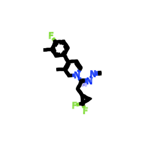 C=N/N=C(/CC1CC1(F)F)N1C=CC(c2ccc(F)c(C)c2)=C(C)C1